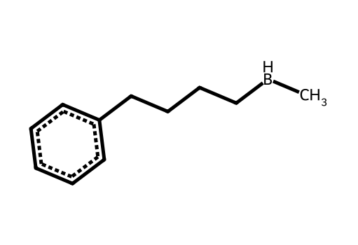 CBCCCCc1ccccc1